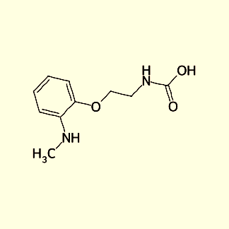 CNc1ccccc1OCCNC(=O)O